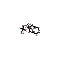 CCC(C)(C)OC(=O)N1C2COCC1CC(O)C2